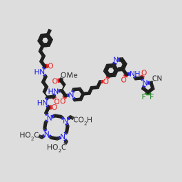 COC(=O)C[C@H](NC(=O)[C@H](CCCCNC(=O)CCCc1ccc(C)cc1)NC(=O)CN1CCN(CC(=O)O)CCN(CC(=O)O)CCN(CC(=O)O)CC1)C(=O)N1CCC(CCCCOc2ccc3nccc(C(=O)NCC(=O)N4CC(F)(F)C[C@@H]4C#N)c3c2)CC1